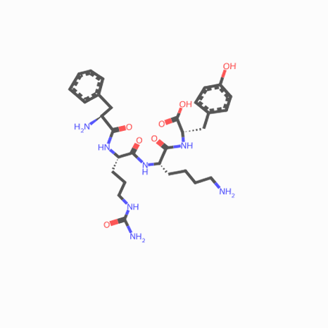 NCCCC[C@H](NC(=O)[C@H](CCCNC(N)=O)NC(=O)[C@@H](N)Cc1ccccc1)C(=O)N[C@@H](Cc1ccc(O)cc1)C(=O)O